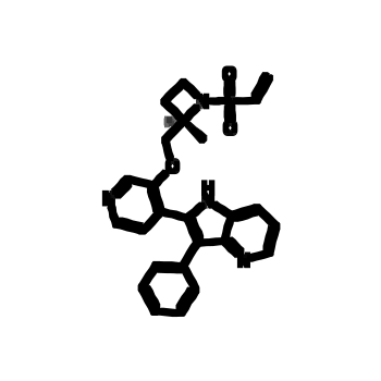 C=CS(=O)(=O)N1CC[C@@]1(C)COc1cnccc1-c1[nH]c2cccnc2c1-c1ccccc1